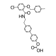 Cc1ccc(COc2ccc(Cl)cc2C(=O)NCCc2ccc(-c3ccc(OC(=O)O)cc3)cc2)cc1